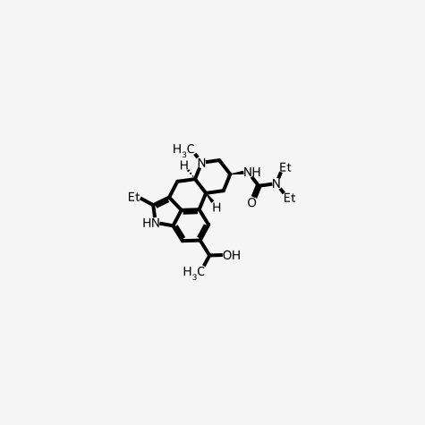 CCc1[nH]c2cc(C(C)O)cc3c2c1C[C@@H]1[C@@H]3C[C@H](NC(=O)N(CC)CC)CN1C